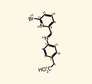 O=C(O)Cc1ccc(/N=C/c2cccc(Br)n2)cc1